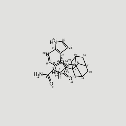 NC(=O)CNC(=O)C12CC3CC(C1)C(n1c(=O)[nH]c4cnc5[nH]ccc5c41)C(C3)C2